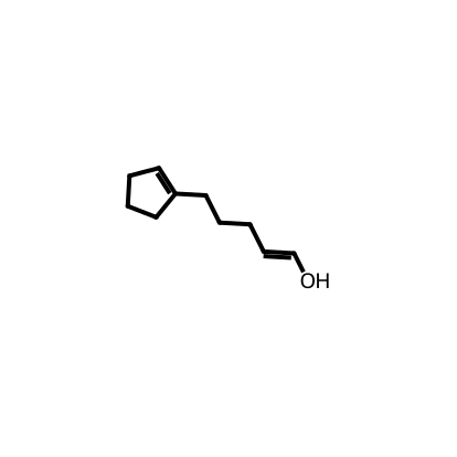 OC=CCCCC1=CCCC1